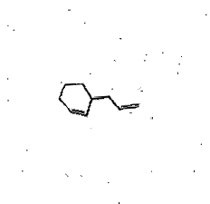 C=CCC1C=CCCC1